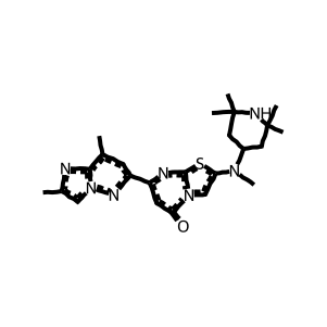 Cc1cn2nc(-c3cc(=O)n4cc(N(C)C5CC(C)(C)NC(C)(C)C5)sc4n3)cc(C)c2n1